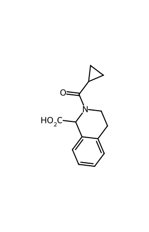 O=C(O)C1c2ccccc2CCN1C(=O)C1CC1